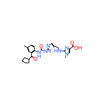 Cc1ccc(NC(=O)Nc2ncc(CNc3nc(C(=O)O)cn3C)s2)c(C(=O)C2CCCC2)c1